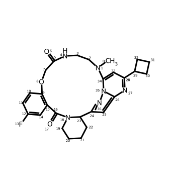 CN1CCNC(=O)COc2ccc(F)cc2C(=O)N2CCCCC2c2cc3nc(C4CCC4)cc1n3n2